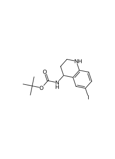 CC(C)(C)OC(=O)NC1CCNc2ccc(I)cc21